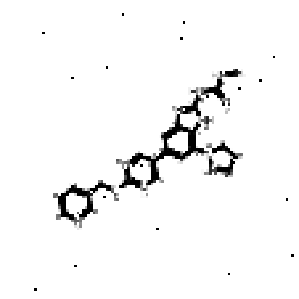 CCNC(=O)Nc1nc2cc(-c3cnc(OCc4cccnc4)nc3)cc(N3CCC=N3)c2[nH]1